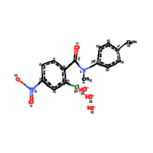 CN(C(=O)c1ccc([N+](=O)[O-])cc1Cl)c1cc[c]([Ge+3])cc1.[OH-].[OH-].[OH-]